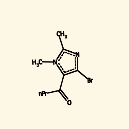 CCCC(=O)c1c(Br)nc(C)n1C